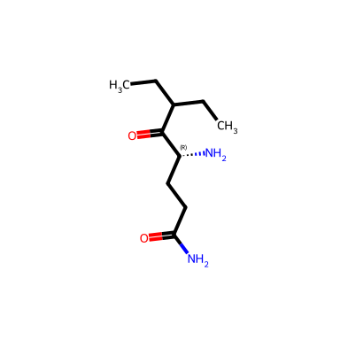 CCC(CC)C(=O)[C@H](N)CCC(N)=O